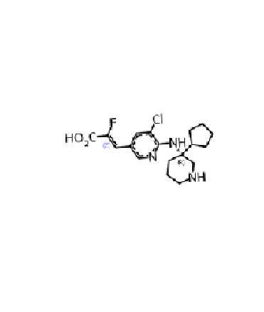 O=C(O)/C(F)=C/c1cnc(N[C@@]2(C3CCCC3)CCCNC2)c(Cl)c1